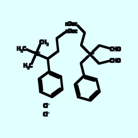 CCCCCCCCCCCCC(c1ccccc1)[N+](C)(C)C.CCCCCCCCCCCC[N+](CC=O)(CC=O)Cc1ccccc1.[Cl-].[Cl-]